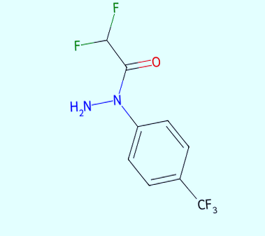 NN(C(=O)C(F)F)c1ccc(C(F)(F)F)cc1